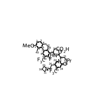 COc1ccc(C)c(-c2cc(C(F)(F)F)c(F)c(C(CC(=O)O)NC(=O)C(CC(C)C)n3cc(CCN4CCC4)c(C(F)(F)F)cc3=O)c2F)c1C